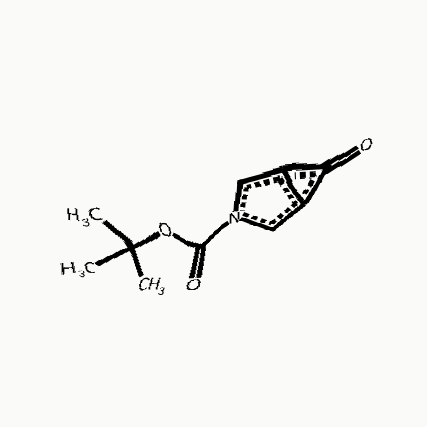 CC(C)(C)OC(=O)n1cc2c(=O)c2c1